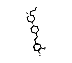 CCC[Si@]1(C)CC[C@@H](C2CCC(CCc3ccc(Cl)c(F)c3)CC2)CC1